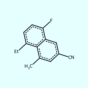 CCc1ccc(F)c2cc(C#N)cc(C)c12